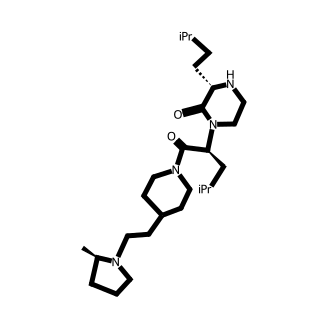 CC(C)CC[C@@H]1NCCN([C@@H](CC(C)C)C(=O)N2CCC(CCN3CCC[C@H]3C)CC2)C1=O